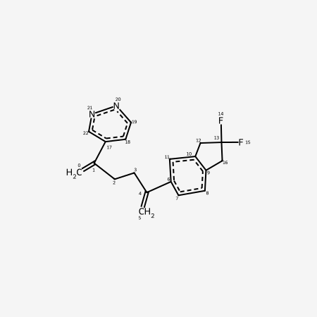 C=C(CCC(=C)c1ccc2c(c1)CC(F)(F)C2)c1ccnnc1